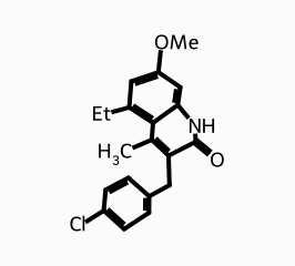 CCc1cc(OC)cc2[nH]c(=O)c(Cc3ccc(Cl)cc3)c(C)c12